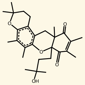 CC1=C(C)C(=O)C2(CCC(C)(C)O)Oc3c(C)c(C)c4c(c3CC2(C)C1=O)CCC(C)(C)O4